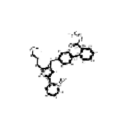 CCCCc1nc(-c2cccc[n+]2[O-])cn1Cc1ccc(-c2ccccc2C(=O)OC)cc1